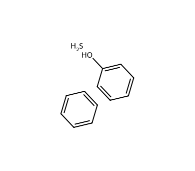 Oc1ccccc1.S.c1ccccc1